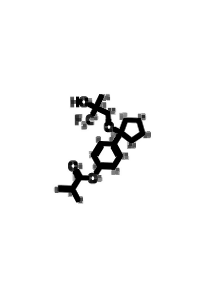 C=C(C)C(=O)Oc1ccc(C2(OCC(C)(O)C(F)(F)F)CCCC2)cc1